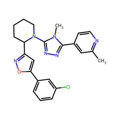 Cc1cc(-c2nnc(N3CCCCC3c3cc(-c4cccc(Cl)c4)on3)n2C)ccn1